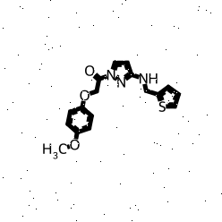 COc1ccc(OCC(=O)n2ccc(NCc3cccs3)n2)cc1